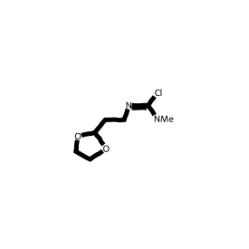 CN/C(Cl)=N\CCC1OCCO1